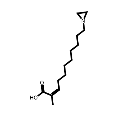 CC(=CCCCCCCCCN1CC1)C(=O)O